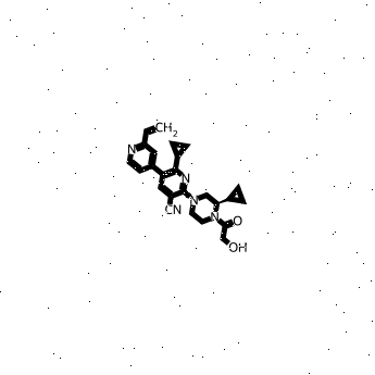 C=Cc1cc(-c2cc(C#N)c(N3CCN(C(=O)CO)[C@H](C4CC4)C3)nc2C2CC2)ccn1